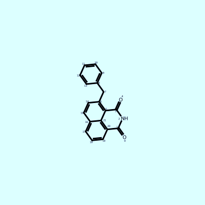 O=C1NC(=O)c2c(Cc3ccccc3)ccc3cccc1c23